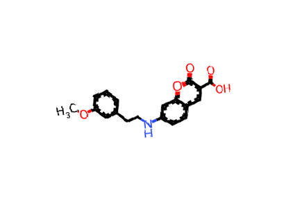 COc1cccc(CCNc2ccc3cc(C(=O)O)c(=O)oc3c2)c1